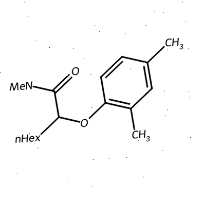 CCCCCCC(Oc1ccc(C)cc1C)C(=O)NC